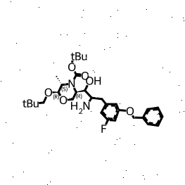 C[C@H]1[C@H](OCC(C)(C)C)OC[C@H](C(O)C(N)Cc2cc(F)cc(OCc3ccccc3)c2)N1C(=O)OC(C)(C)C